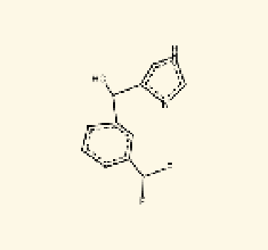 OC(c1cccc(C(F)F)c1)c1c[nH]cn1